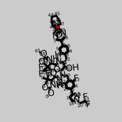 COC(=O)N[C@H](C(=O)NN(Cc1c(F)cc(-c2ccn(CC(F)F)n2)cc1F)C[C@H](O)[C@H](Cc1ccc(-c2cnc(N3CC4CCC(C3)N4C3COC3)nc2)cc1)NC(=O)[C@@H](NC(=O)OC)C(C)(C)C(F)(F)F)C(C)(C)C